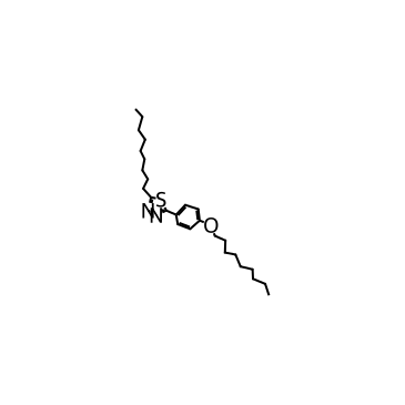 CCCCCCCCCOc1ccc(-c2nnc(CCCCCCCCC)s2)cc1